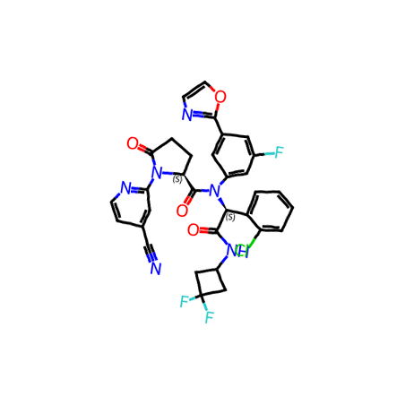 N#Cc1ccnc(N2C(=O)CC[C@H]2C(=O)N(c2cc(F)cc(-c3ncco3)c2)[C@H](C(=O)NC2CC(F)(F)C2)c2ccccc2Cl)c1